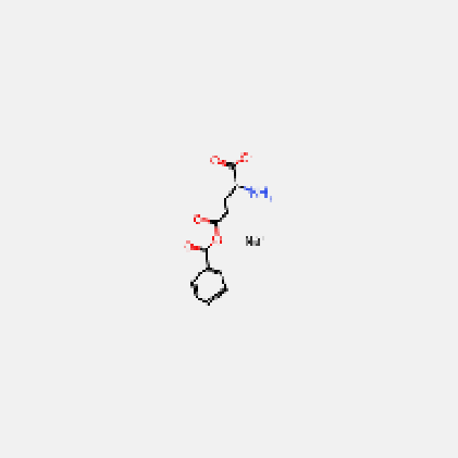 N[C@@H](CCC(=O)OC(=O)c1ccccc1)C(=O)[O-].[Na+]